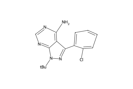 CC(C)(C)n1nc(-c2ccccc2Cl)c2c(N)ncnc21